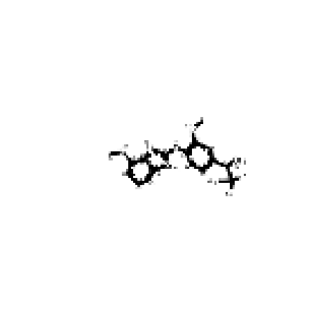 COc1cc(C(O)C(F)(F)F)ccc1Oc1nc2c(SC)cccc2s1